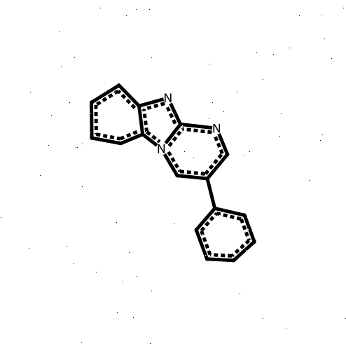 c1ccc(-c2cnc3nc4ccccc4n3c2)cc1